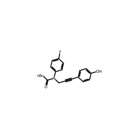 CCCCC(=O)N(CC#Cc1ccc(O)cc1)c1ccc(F)cc1